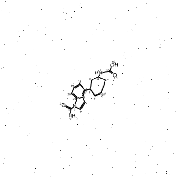 NC(=O)n1ccc2c(C3CCCC(NC(=O)O)C3)cccc21